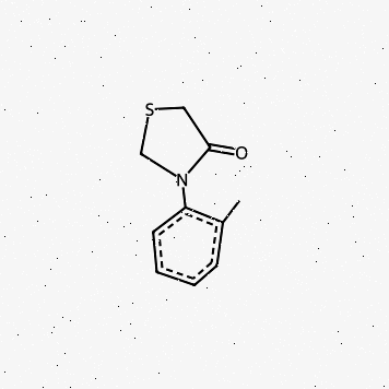 Cc1ccccc1N1CSCC1=O